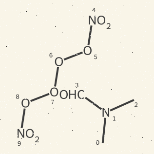 CN(C)C=O.O=[N+]([O-])OOOO[N+](=O)[O-]